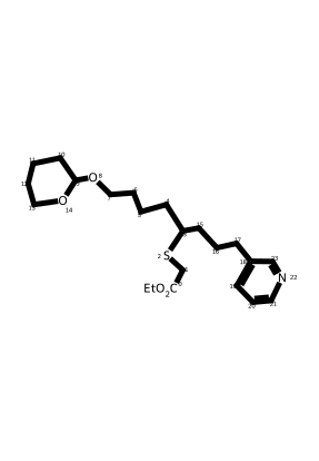 CCOC(=O)CSC(CCCCOC1CCCCO1)CCCc1cccnc1